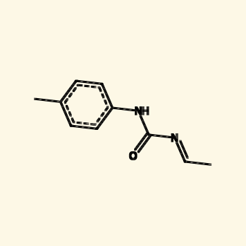 CC=NC(=O)Nc1ccc(C)cc1